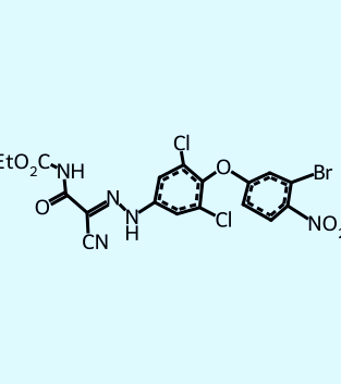 CCOC(=O)NC(=O)/C(C#N)=N/Nc1cc(Cl)c(Oc2ccc([N+](=O)[O-])c(Br)c2)c(Cl)c1